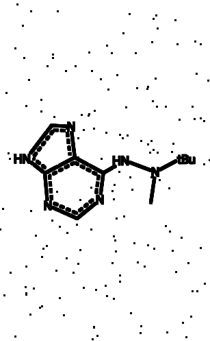 CN(Nc1ncnc2[nH]cnc12)C(C)(C)C